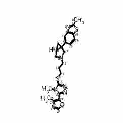 Cc1nc2cc(C34C[C@@H]3CN(CCCSc3nnc(-c5ocnc5C)n3C)C4)ccc2s1